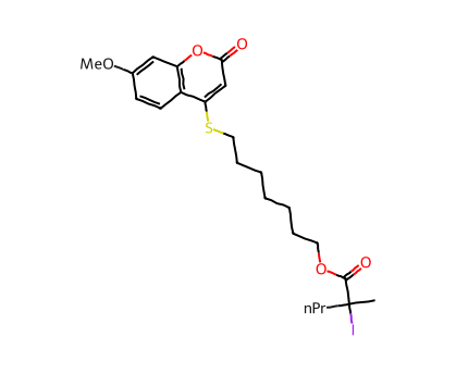 CCCC(C)(I)C(=O)OCCCCCCCSc1cc(=O)oc2cc(OC)ccc12